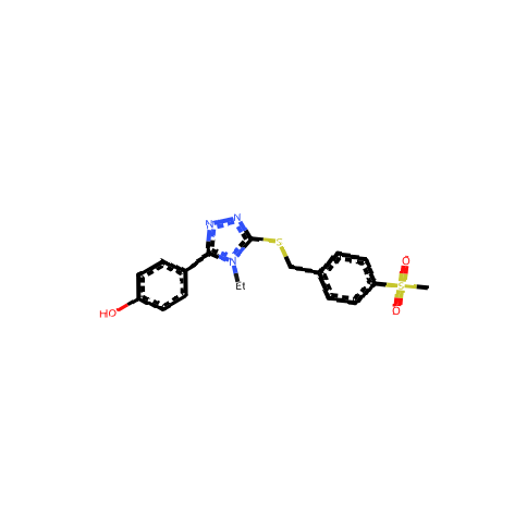 CCn1c(SCc2ccc(S(C)(=O)=O)cc2)nnc1-c1ccc(O)cc1